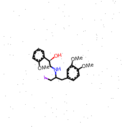 COc1ccc(CC(CI)NC[C@H](O)c2ccccc2OC)cc1OC